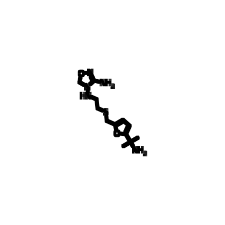 CC(C)(N)c1ccc(CSCCNN2CON=C2N)o1